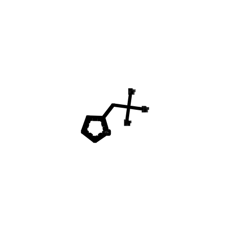 BrC(Br)(Br)Cc1ccco1